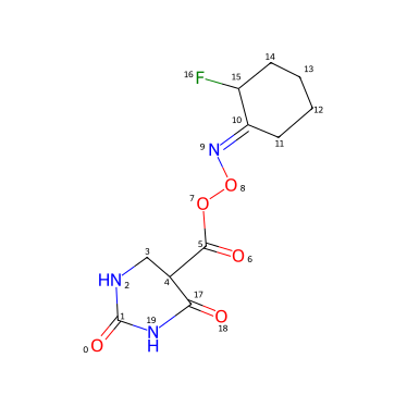 O=C1NCC(C(=O)OON=C2CCCCC2F)C(=O)N1